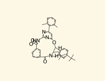 Cc1cccc(C)c1-c1cc2nc(n1)NS(=O)(=O)c1cccc(c1)C(=O)N1Cc3cc(C(C)(C)C)ccc3[C@H](O2)[C@H]1CC(C)C